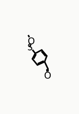 COSc1ccc(C=O)cc1